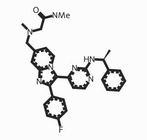 CNC(=O)CN(C)Cc1ccn2c(-c3ccnc(N[C@@H](C)c4ccccc4)n3)c(-c3ccc(F)cc3)nc2c1